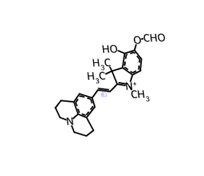 C[N+]1=C(/C=C/c2cc3c4c(c2)CCCN4CCC3)C(C)(C)c2c1ccc(OC=O)c2O